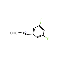 O=C/C=C/c1cc(F)cc(F)c1